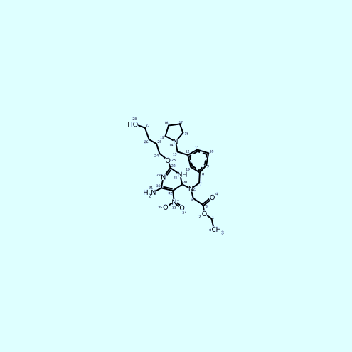 CCOC(=O)CN(Cc1cccc(CN2CCCC2)c1)C1NC(OCCCCO)=NC(N)=C1[N+](=O)[O-]